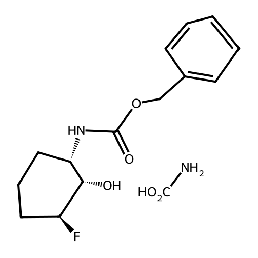 NC(=O)O.O=C(N[C@H]1CCC[C@H](F)[C@H]1O)OCc1ccccc1